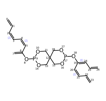 C=C/C=C\C=C/C(=C)OP1OCC2(CO1)COP(OC(/C=C\C=C)=C/C=C)OC2